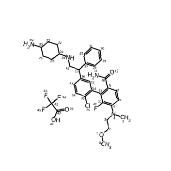 COCCN(C)c1ccc(C(N)=O)c(-c2cc(C(CNC3CCC(N)CC3)c3ccccc3)ccc2Cl)c1F.O=C(O)C(F)(F)F